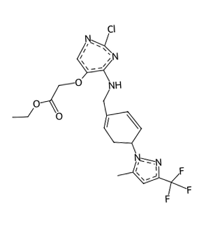 CCOC(=O)COc1cnc(Cl)nc1NCC1=CCC(n2nc(C(F)(F)F)cc2C)C=C1